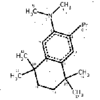 CC(C)c1cc2c(cc1N(C)C)C(C)(C)CCC2(C)C